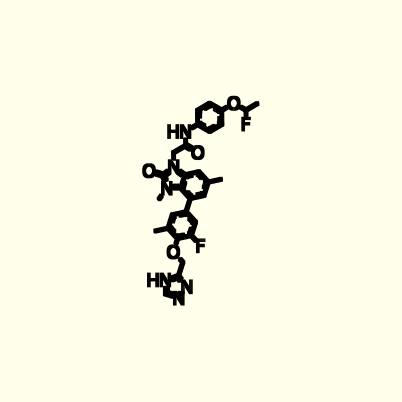 Cc1cc(-c2cc(C)c(OCc3nnc[nH]3)c(F)c2)c2c(c1)n(CC(=O)Nc1ccc(OC(C)F)cc1)c(=O)n2C